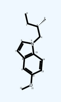 CC[C@H](C)Cn1ccc2cc(OC)ccc21